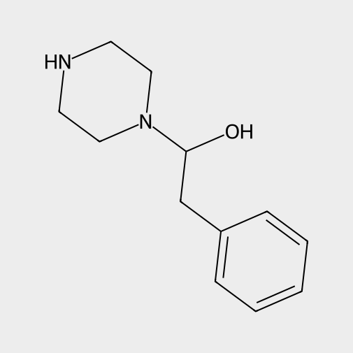 OC(Cc1ccccc1)N1CCNCC1